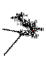 CCCCCCCCCCCCC/C=C/[C@@H](O)[C@H](CO[C@@H]1OC(CO)[C@@H](O[C@@H]2OC(CO)[C@H](O)[C@H](O[C@@H]3OC(CO)[C@@H](O[C@@H]4OC(CO)[C@H](O)[C@H](O[C@@H]5OC(CO)[C@@H](O[C@@H]6OC(CO[C@]7(C(=O)O)CC(O)[C@@H](NC(C)=O)C([C@H](O)[C@H](O)CO)O7)[C@H](O)[C@H](O)C6O)[C@H](O)C5NC(C)=O)C4O)[C@H](O)C3NC(C)=O)C2O)[C@H](O)C1O)NC(=O)CCCCCCCCCCCCCCCCCCCCC